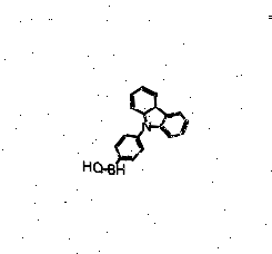 OBc1ccc(N2c3ccccc3C3C=CC=CC32)cc1